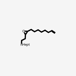 C=CCCCCCCC1OC1CCCCCCCCC